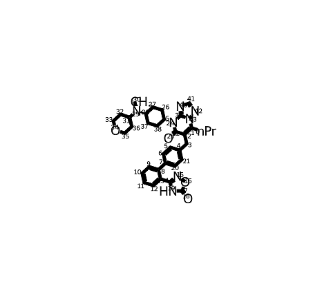 CCCc1c(Cc2ccc(-c3ccccc3-c3noc(=O)[nH]3)cc2)c(=O)n([C@H]2CC[C@H](N(C)C3CCOCC3)CC2)c2ncnn12